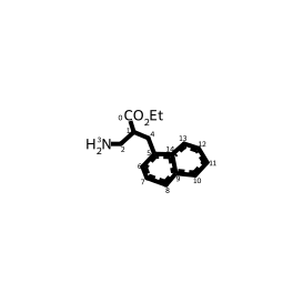 CCOC(=O)C(CN)Cc1cccc2ccccc12